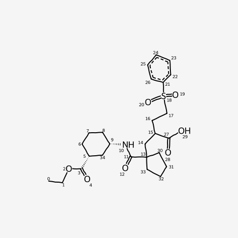 CCOC(=O)[C@@H]1CCC[C@H](NC(=O)C2(CC(CCS(=O)(=O)c3ccccc3)C(=O)O)CCCC2)C1